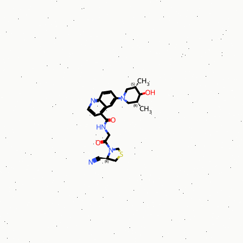 C[C@@H]1CN(c2ccc3nccc(C(=O)NCC(=O)N4CSC[C@H]4C#N)c3c2)C[C@H](C)C1O